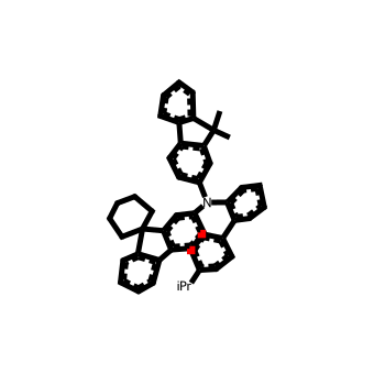 CC(C)c1ccc(-c2ccccc2N(c2ccc3c(c2)C(C)(C)c2ccccc2-3)c2ccc3c(c2)C2(CCCCC2)c2ccccc2-3)cc1